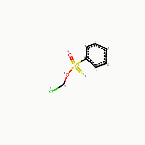 O=S(=S)(OCCl)c1ccccc1